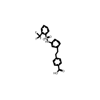 O=C(O)c1ccc(CCc2cccc(NS(=O)(=O)c3ccccc3C(F)(F)F)c2)cc1